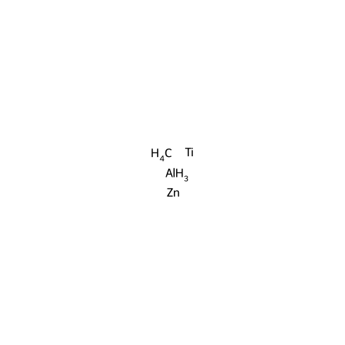 C.[AlH3].[Ti].[Zn]